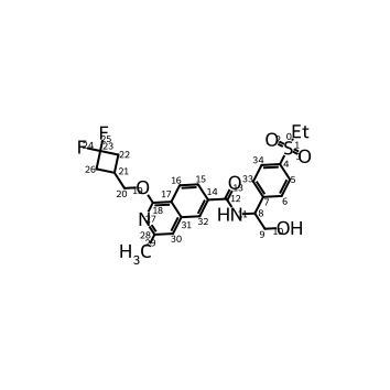 CCS(=O)(=O)c1ccc(C(CO)NC(=O)c2ccc3c(OCC4CC(F)(F)C4)nc(C)cc3c2)cc1